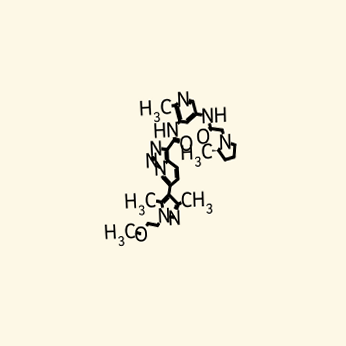 COCCn1nc(C)c(-c2ccc3c(C(=O)Nc4cc(NC(=O)CN5CCC[C@@H]5C)cnc4C)nnn3c2)c1C